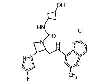 O=C(NC1CC(O)C1)N1CC(n2cc(F)cn2)C1CNc1cc(C(F)(F)F)nc2ccc(Cl)cc12